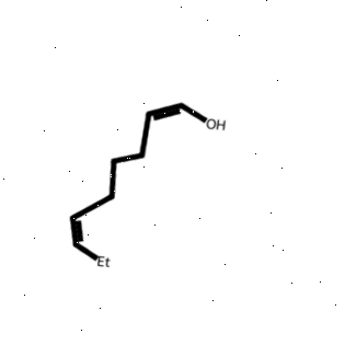 CC/C=C\CCC/C=C\O